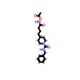 CC(=O)ONC(=O)CCCC1CCN(C(=O)NCc2ccccc2)CC1